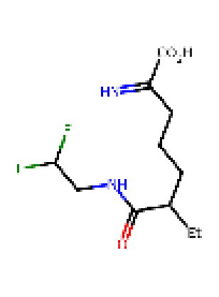 CCC(CCCC(=N)C(=O)O)C(=O)NCC(F)F